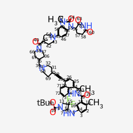 Cc1ccc(N[C@@H]2CN(C(=O)OC(C)(C)C)CC2(F)F)cc1C(=O)N[C@H](C)c1ccc(C#CC2CCN(CC3CCN(C(=O)C4CCN(c5ccc6c(c5)n(C)c(=O)n6C5CCC(=O)NC5=O)CC4)CC3)CC2)c2ccccc12